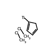 CCl.CCl.[Ti][C]1=CC=CC1